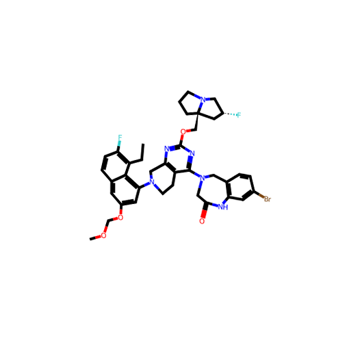 CCc1c(F)ccc2cc(OCOC)cc(N3CCc4c(nc(OC[C@@]56CCCN5C[C@H](F)C6)nc4N4CC(=O)Nc5cc(Br)ccc5C4)C3)c12